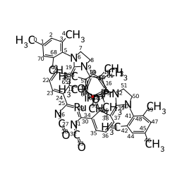 Cc1cc(C)c(N2CCN(c3c(C)cc(C)cc3C)C2=C2C=CC=C([C](N=C=O)=[Ru]=[C](N=C=O)C3=CC=CC(=C4N(c5c(C)cc(C)cc5C)CCN4c4c(C)cc(C)cc4C)C3OC(C)C)C2OC(C)C)c(C)c1